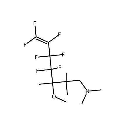 COC(C)(C(C)(C)CN(C)C)C(F)(F)C(F)(F)C(F)=C(F)F